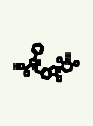 O=C1CCC(N2Cc3cc(Cn4nc(-c5ccccc5)cc4C(=O)O)ccc3C2=O)C(=O)N1